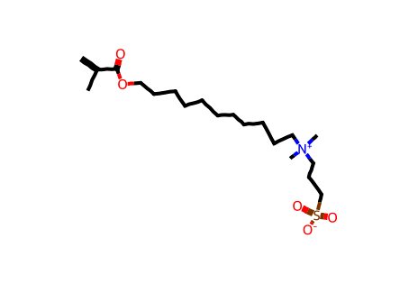 C=C(C)C(=O)OCCCCCCCCCCC[N+](C)(C)CCCS(=O)(=O)[O-]